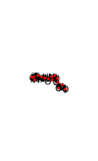 COc1ccc2c(COc3cccc4[nH]c(C(=O)NC5CCN(C[C@@H]6CCCN7CCCC[C@H]67)CC5)cc34)coc2c1